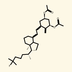 C=C1/C(=C\C=C2CCC[C@@]3(C)C2CC[C@@H]3[C@H](C)CCCC(C)(C)F)C[C@@H](OC(C)=O)C[C@H]1OC(C)=O